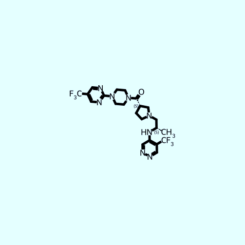 C[C@@H](CN1CC[C@H](C(=O)N2CCN(c3ncc(C(F)(F)F)cn3)CC2)C1)Nc1cnncc1C(F)(F)F